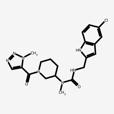 CN(C(=O)NCc1cc2cc(Cl)ccc2[nH]1)C1CCCN(C(=O)c2cnnn2C)C1